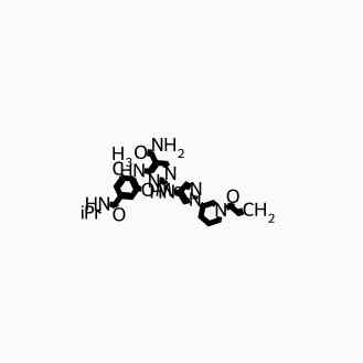 C=CC(=O)N1CCCC(n2cc(Nc3ncc(C(N)=O)c(Nc4c(C)cc(C(=O)NC(C)C)cc4OC)n3)cn2)C1